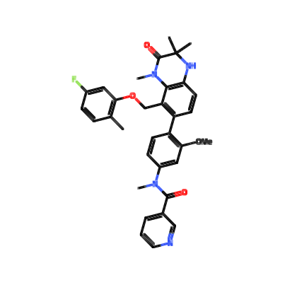 COc1cc(N(C)C(=O)c2cccnc2)ccc1-c1ccc2c(c1COc1cc(F)ccc1C)N(C)C(=O)C(C)(C)N2